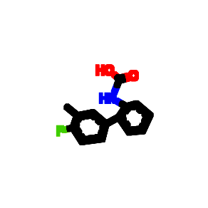 Cc1cc(-c2ccccc2NC(=O)O)ccc1F